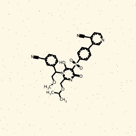 COCC(c1cccc(C#N)c1)n1c(COC(C)C)nc(=O)c(S(=O)(=O)c2ccc(-c3cnccc3C#N)cc2)c1O